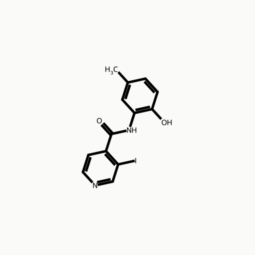 Cc1ccc(O)c(NC(=O)c2ccncc2I)c1